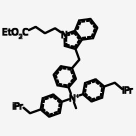 CCOC(=O)CCCn1cc(Cc2cccc([N+](C)(c3ccc(CC(C)C)cc3)c3ccc(CC(C)C)cc3)c2)c2ccccc21